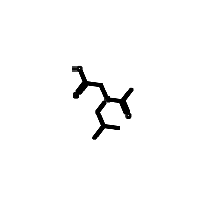 CC(=O)N(CC(=O)O)CC(C)C